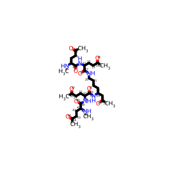 CNC(CCC(C)=O)C(=O)NC(CCC(C)=O)C(=O)NCCCCC(CC(C)=O)NC(=O)C(CCC(C)=O)NC(=O)C(CCC(C)=O)NC